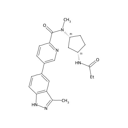 CCC(=O)N[C@H]1CC[C@@H](N(C)C(=O)c2ccc(-c3ccc4[nH]nc(C)c4c3)cn2)C1